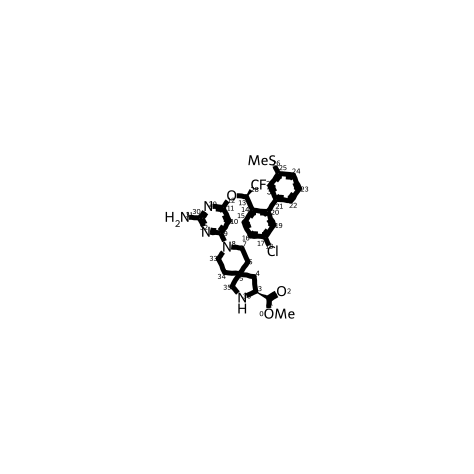 COC(=O)[C@@H]1CC2(CCN(c3cc(O[C@H](c4ccc(Cl)cc4-c4cccc(SC)c4)C(F)(F)F)nc(N)n3)CC2)CN1